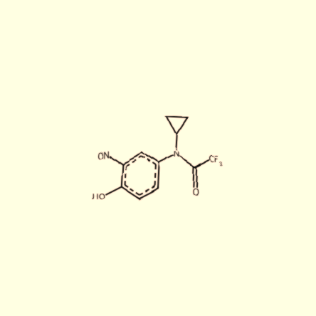 O=Nc1cc(N(C(=O)C(F)(F)F)C2CC2)ccc1O